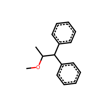 COC(C)C(c1ccccc1)c1ccccc1